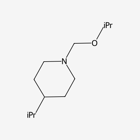 CC(C)OCN1CCC(C(C)C)CC1